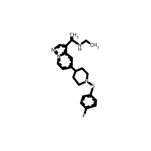 C=C(NCC)c1cnn2ccc(C3CCN(Sc4ccc(F)cc4)CC3)cc12